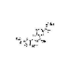 CC(C)(C)OC(=O)N1CCC(Oc2c(CO)cnc3sc(CC(F)(F)F)cc23)CC1